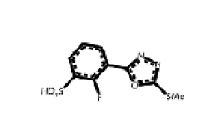 CSc1nnc(-c2cccc(S(=O)(=O)O)c2F)o1